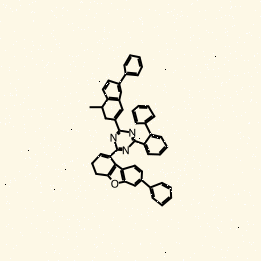 CC1CC(c2nc(C3=CCCc4oc5cc(-c6ccccc6)ccc5c43)nc(-c3ccccc3-c3ccccc3)n2)=Cc2cc(-c3ccccc3)ccc21